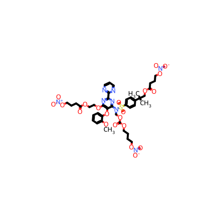 COc1ccccc1Oc1c(OCCOC(=O)CCCO[N+](=O)[O-])nc(-c2ncccn2)nc1N(COC(=O)OCCCCO[N+](=O)[O-])S(=O)(=O)c1ccc(C(C)(C)COC(=O)CCCO[N+](=O)[O-])cc1